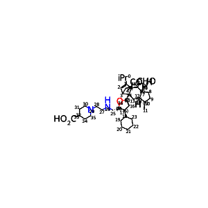 CC(C)C1=CC2CC3(C=O)[C@@H]4CC[C@@H](C)[C@H]4CC2([C@H]2C[C@@H](C4CCCCC4)[C@H](CNCCN4CCC(C(=O)O)CC4)O2)[C@]13C(=O)O